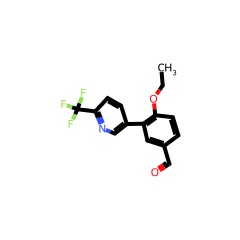 CCOc1ccc(C=O)cc1-c1ccc(C(F)(F)F)nc1